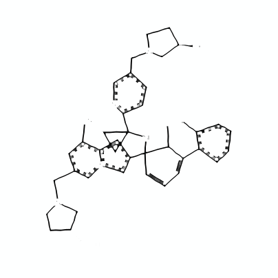 CC1C(c2ccccc2Cl)=CC=CC1(NC1(c2ccc(CN3CC[C@@H](O)C3)cn2)CC1)c1cc2c(C#N)cc(CN3CC[C@@H](C(=O)O)C3)cn2c1